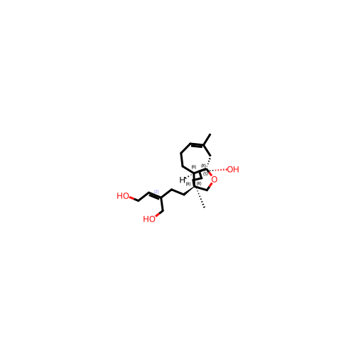 CC1=CCC[C@@H]2[C@]3(CC/C(=C/CO)CO)CO[C@@]2(C1)[C@@H](O)C[C@H]3C